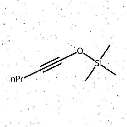 CCCC#CO[Si](C)(C)C